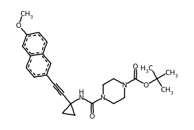 COc1ccc2cc(C#CC3(NC(=O)N4CCN(C(=O)OC(C)(C)C)CC4)CC3)ccc2c1